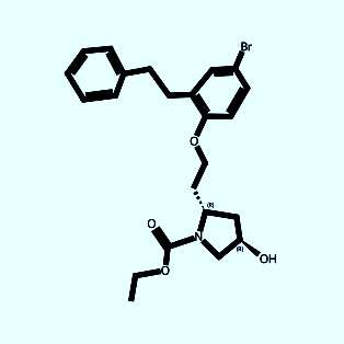 CCOC(=O)N1C[C@H](O)C[C@H]1CCOc1ccc(Br)cc1CCc1ccccc1